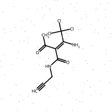 C#CCNC(=O)C(C(C)=O)=C(N)C(Cl)(Cl)Cl